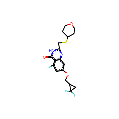 O=c1[nH]c(CSC2CCOCC2)nc2cc(OCC3CC3(F)F)cc(F)c12